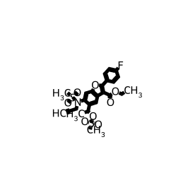 C#CCN(c1cc2oc(-c3ccc(F)cc3)c(C(=O)OCC)c2cc1C(C)OS(C)(=O)=O)S(C)(=O)=O